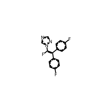 FC(=C(c1ccc(F)cc1)c1ccc(F)cc1)n1cncn1